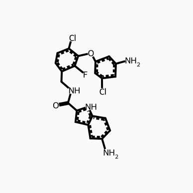 Nc1cc(Cl)cc(Oc2c(Cl)ccc(CNC(=O)c3cc4cc(N)ccc4[nH]3)c2F)c1